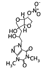 Cn1c(=O)c2c(ncn2CC(O)C[C@]2(O)CO[C@@H]3[C@H](O[N+](=O)[O-])CO[C@@H]32)n(C)c1=O